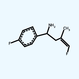 C/C(=C/F)CC(N)c1ccc(F)cc1